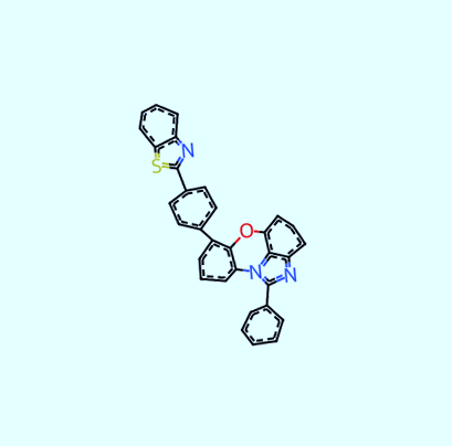 c1ccc(-c2nc3cccc4c3n2-c2cccc(-c3ccc(-c5nc6ccccc6s5)cc3)c2O4)cc1